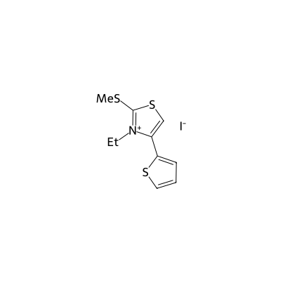 CC[n+]1c(-c2cccs2)csc1SC.[I-]